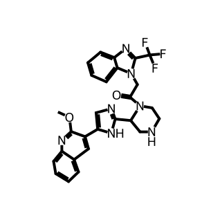 COc1nc2ccccc2cc1-c1cnc(C2CNCCN2C(=O)Cn2c(C(F)(F)F)nc3ccccc32)[nH]1